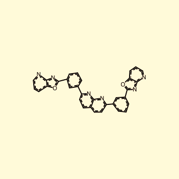 c1cc(-c2ccc3ccc(-c4cccc(-c5nc6ncccc6o5)c4)nc3n2)cc(-c2nc3ncccc3o2)c1